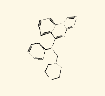 c1ccc(N(CC2CCOCC2)c2nc3nncn3c3ccccc23)cc1